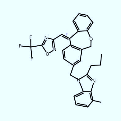 CCCc1nc2c(C)cccc2n1Cc1ccc2c(c1)COc1ccccc1/C2=C/c1noc(C(F)(F)F)n1